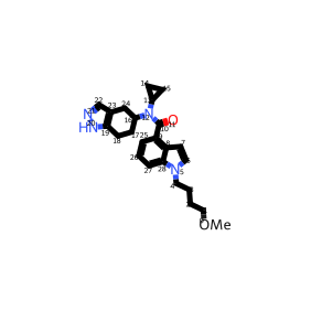 COCCCCn1ccc2c(C(=O)N(C3CC3)C3CCc4[nH]ncc4C3)cccc21